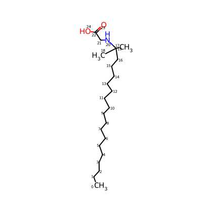 CCCCCCCCCCCCCCCCCC(C)(C)NCC(=O)O